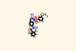 Cc1cccc(S(=O)(=O)N2NCc3ccc(NC(=O)c4c(F)cccc4F)cc32)c1